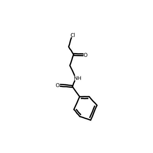 O=C(CCl)CNC(=O)c1ccccc1